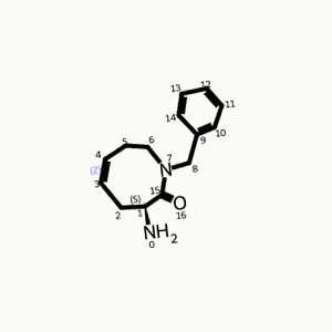 N[C@H]1C/C=C\CCN(Cc2ccccc2)C1=O